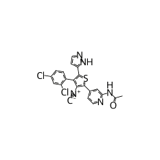 [C-]#[N+]c1c(-c2ccnc(NC(C)=O)c2)sc(-c2ccn[nH]2)c1-c1ccc(Cl)cc1Cl